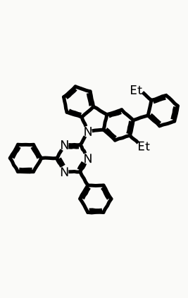 CCc1ccccc1-c1cc2c3ccccc3n(-c3nc(-c4ccccc4)nc(-c4ccccc4)n3)c2cc1CC